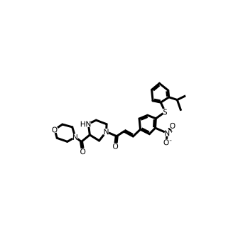 CC(C)c1ccccc1Sc1ccc(C=CC(=O)N2CCNC(C(=O)N3CCOCC3)C2)cc1[N+](=O)[O-]